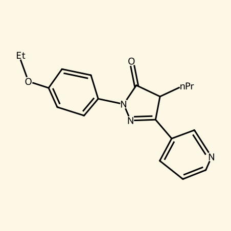 CCCC1C(=O)N(c2ccc(OCC)cc2)N=C1c1cccnc1